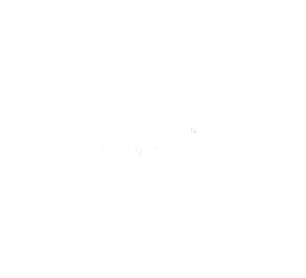 CC(=O)CC(=O)Nc1ccc(C(N)=O)cc1Cl